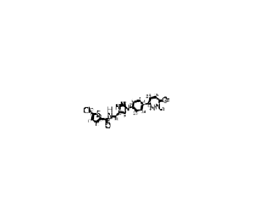 Cn1nc(-c2ccc(-n3cc(CNC(=O)c4ccc(Cl)s4)nn3)cc2)ccc1=O